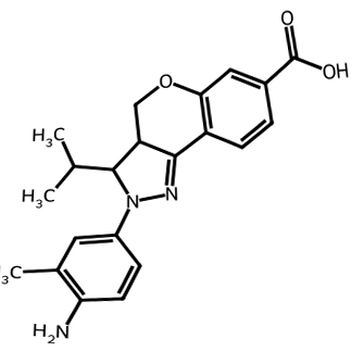 Cc1cc(N2N=C3c4ccc(C(=O)O)cc4OCC3C2C(C)C)ccc1N